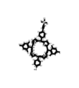 Cc1cc(C)c(-c2c3nc(c(-c4ccc(C#C[Si](C)(C)C)cc4)c4ccc([nH]4)c(-c4c(C)cc(C)cc4C)c4nc(c(-c5ccc(I)cc5)c5ccc2[nH]5)C=C4)C=C3)c(C)c1